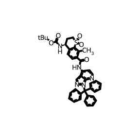 Cc1c(C(=O)Nc2ccnc3c2cnn3C(c2ccccc2)(c2ccccc2)c2ccccc2)ccc2c1S(=O)(=O)CC[C@@H]2NC(=O)OC(C)(C)C